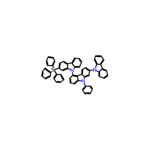 c1ccc(-n2c3cc(-n4c5ccccc5c5ccccc54)ccc3c3c(-n4c5ccccc5c5ccc([Si](c6ccccc6)(c6ccccc6)c6ccccc6)cc54)cccc32)cc1